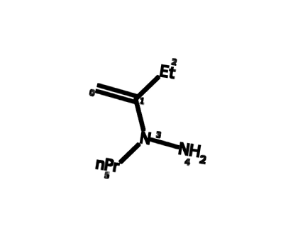 C=C(CC)N(N)CCC